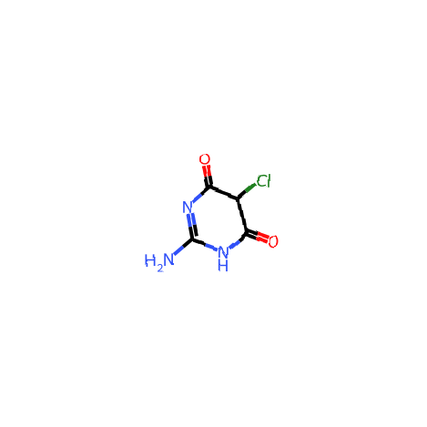 NC1=NC(=O)C(Cl)C(=O)N1